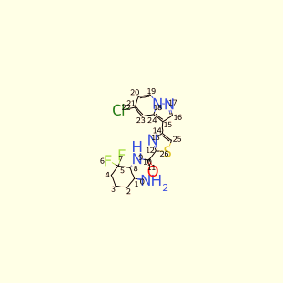 N[C@H]1CCCC(F)(F)[C@@H]1NC(=O)c1nc(-c2cnn3ccc(Cl)cc23)cs1